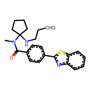 CN(C(=O)c1ccc(-c2nc3ccccc3s2)cc1)C1(NCCC=O)CCCC1